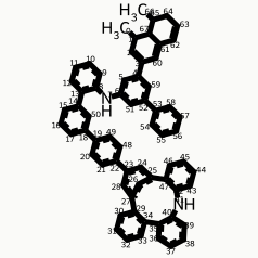 CC1C=C(c2cc(Nc3ccccc3-c3cccc(-c4ccc(-c5cc6cc(c5)-c5ccccc5-c5ccccc5Nc5ccccc5-6)cc4)c3)cc(-c3ccccc3)c2)C=C2C=CCC(C)C21